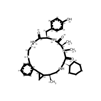 C[C@@H]1CN[C@@H](C2CCCCC2)C(=O)N(C)[C@H](C)C(=O)N[C@H](Cc2ccc(O)cc2)C(=O)NCCCc2ccccc2C2CC21